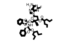 C#CC1(CO[P@@](=O)(N[C@@H](Cc2ccccc2)C(=O)OC(CCC)CCC)Oc2ccccc2)OC(n2cnc3c(N)nc(F)nc32)CC1OC(=O)C(CCC)CCC